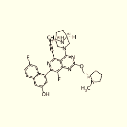 CC#Cc1nc(-c2cc(O)cc3ccc(F)cc23)c(F)c2nc(OC[C@@H]3CCCN3C)nc(N3C[C@H]4CC[C@@H](C3)N4)c12